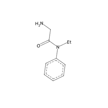 CCN(C(=O)CN)c1ccccc1